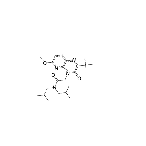 COc1ccc2nc(C(C)(C)C)c(=O)n(CC(=O)N(CC(C)C)CC(C)C)c2n1